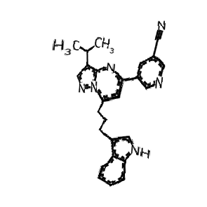 CC(C)c1cnn2c(CCCc3c[nH]c4ccccc34)cc(-c3cncc(C#N)c3)nc12